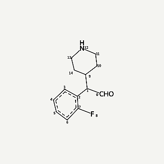 O=CC(c1ccccc1F)C1CCNCC1